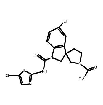 CC(=O)N1CCC2(C1)CN(C(=O)Nc1ncc(Cl)s1)c1ccc(Cl)cc12